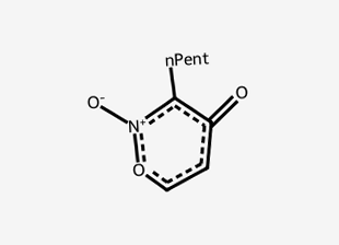 CCCCCc1c(=O)cco[n+]1[O-]